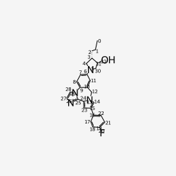 CCC[C@H]1CN(c2ccc3c(c2)Cn2cc(-c4ccc(F)cc4)cc2-c2nccn2-3)C[C@@H]1O